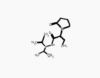 CCC(C(=O)NN(C(C)C)C(C)C)N1CCCC1=O